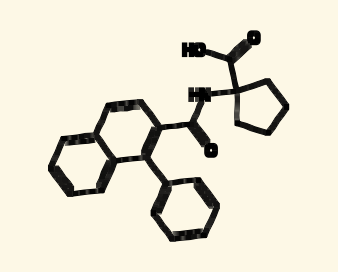 O=C(NC1(C(=O)O)CCCC1)c1ccc2ccccc2c1-c1ccccc1